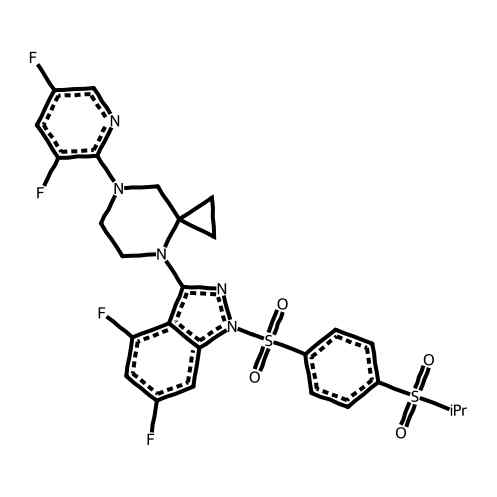 CC(C)S(=O)(=O)c1ccc(S(=O)(=O)n2nc(N3CCN(c4ncc(F)cc4F)CC34CC4)c3c(F)cc(F)cc32)cc1